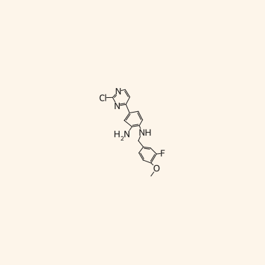 COc1ccc(CNc2ccc(-c3ccnc(Cl)n3)cc2N)cc1F